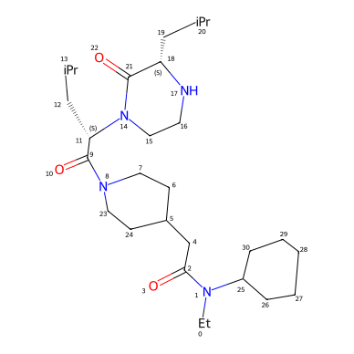 CCN(C(=O)CC1CCN(C(=O)[C@H](CC(C)C)N2CCN[C@@H](CC(C)C)C2=O)CC1)C1CCCCC1